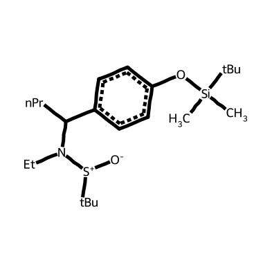 CCCC(c1ccc(O[Si](C)(C)C(C)(C)C)cc1)N(CC)[S+]([O-])C(C)(C)C